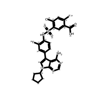 Nc1ncnc2c1c(-c1ccc(NS(=O)(=O)c3cc(C(=O)O)c(F)cc3Cl)c(F)c1)cn2C1CCCC1